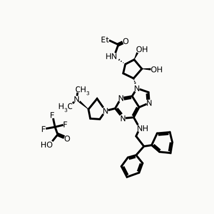 CCC(=O)N[C@H]1C[C@@H](n2cnc3c(NCC(c4ccccc4)c4ccccc4)nc(N4CC[C@@H](N(C)C)C4)nc32)[C@H](O)[C@@H]1O.O=C(O)C(F)(F)F